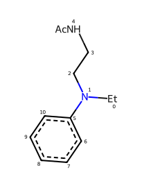 CCN(CCNC(C)=O)c1ccccc1